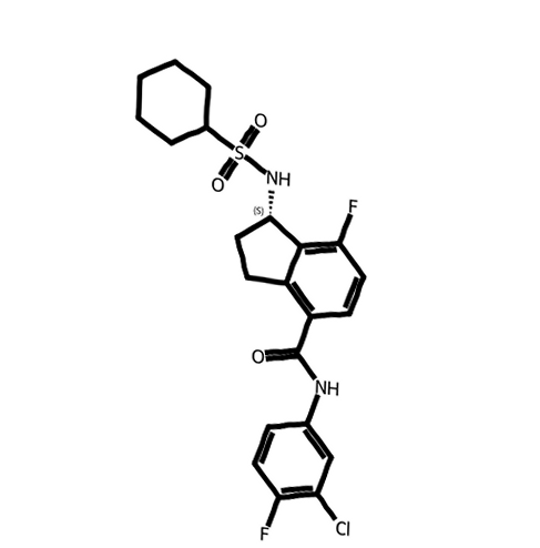 O=C(Nc1ccc(F)c(Cl)c1)c1ccc(F)c2c1CC[C@@H]2NS(=O)(=O)C1CCCCC1